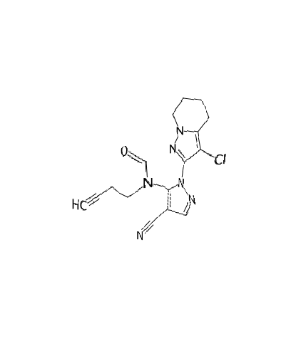 C#CCCN(C=O)c1c(C#N)cnn1-c1nn2c(c1Cl)CCCC2